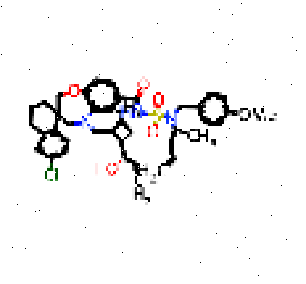 C=CC[C@H](C)N(Cc1ccc(OC)cc1)S(=O)(=O)NC(=O)c1ccc2c(c1)N(CC1[C@H](C)C[C@H]1[C@@H](O)C=C)C[C@@]1(CCCc3cc(Cl)ccc31)CO2